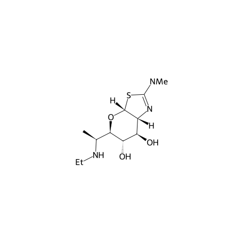 CCN[C@@H](C)[C@H]1O[C@@H]2SC(NC)=N[C@@H]2[C@@H](O)[C@@H]1O